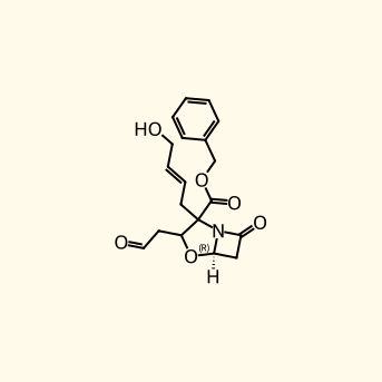 O=CCC1O[C@@H]2CC(=O)N2C1(CC=CCO)C(=O)OCc1ccccc1